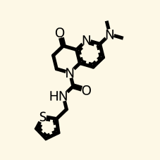 CN(C)c1ccc2c(n1)C(=O)CCN2C(=O)NCc1cccs1